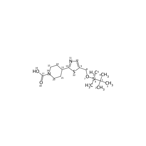 CC(C)(C)[Si](C)(C)OCc1cnc(C2CCN(C(=O)O)CC2)s1